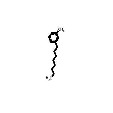 CCCCCCCCc1[c]ccc(C)c1